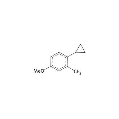 COc1ccc(C2CC2)c(C(F)(F)F)c1